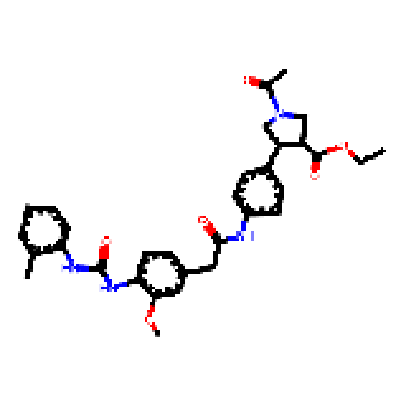 CCOC(=O)C1CN(C(C)=O)CC1c1ccc(NC(=O)Cc2ccc(NC(=O)Nc3ccccc3C)c(OC)c2)cc1